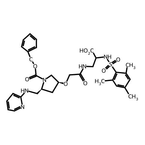 Cc1cc(C)c(S(=O)(=O)NC(CNC(=O)CO[C@H]2C[C@@H](CNc3ccccn3)N(C(=O)OCc3ccccc3)C2)C(=O)O)c(C)c1